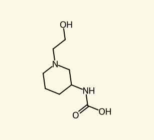 O=C(O)NC1CCCN(CCO)C1